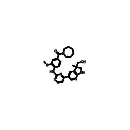 COc1cc(C(=O)N2CCCCCC2)ccc1Nc1nccc(-c2cnc3c(c2)C(C)(CO)CN3)n1